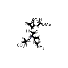 COC(=O)C[C@H]1[C@@H](NC(=O)/C(=N/OC(C)(C)C(=O)O)c2csc(N)n2)C(=O)N1S(=O)(=O)O